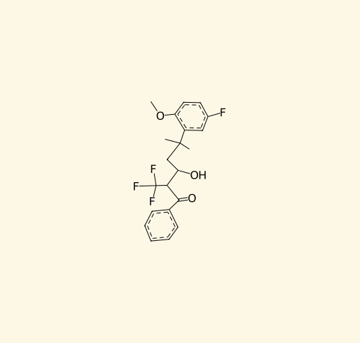 COc1ccc(F)cc1C(C)(C)CC(O)C(C(=O)c1ccccc1)C(F)(F)F